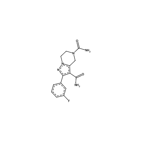 NC(=O)c1c(-c2cccc(F)c2)nn2c1CN(C(N)=O)CC2